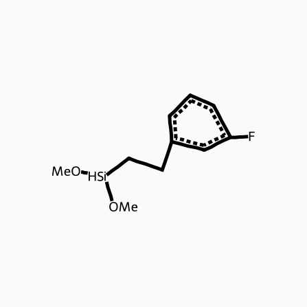 CO[SiH](CCc1cccc(F)c1)OC